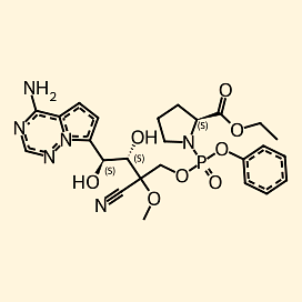 CCOC(=O)[C@@H]1CCCN1P(=O)(OCC(C#N)(OC)[C@@H](O)[C@@H](O)c1ccc2c(N)ncnn12)Oc1ccccc1